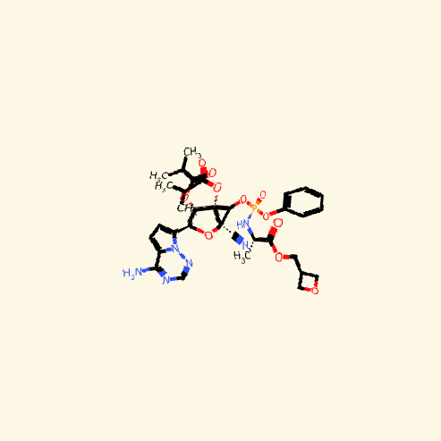 CC(C)C(=O)O[C@H]1[C@H](c2ccc3c(N)ncnn23)O[C@]2(C#N)C(O[P@@](=O)(N[C@@H](C)C(=O)OCC3COC3)Oc3ccccc3)[C@]12OC(=O)C(C)C